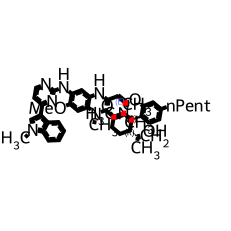 C=C(C)[C@@H]1CCC(C)=C[C@H]1c1c(O)cc(CCCCC)cc1O/C=C/C(=O)Nc1cc(Nc2nccc(-c3cn(C)c4ccccc34)n2)c(OC)cc1N(C)CCN(C)C